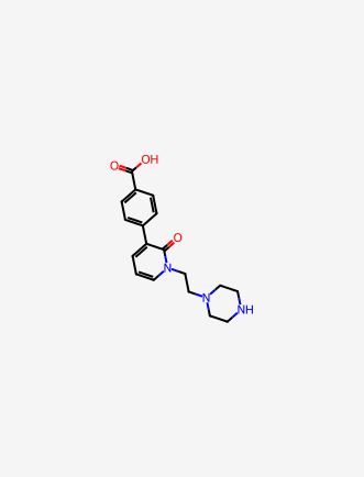 O=C(O)c1ccc(-c2cccn(CCN3CCNCC3)c2=O)cc1